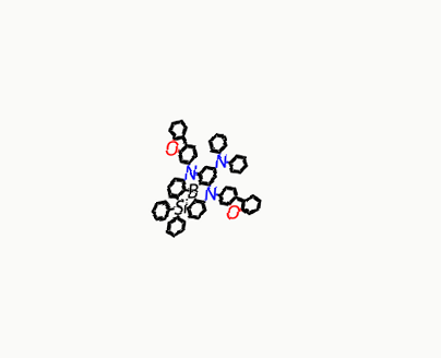 c1ccc(N(c2ccccc2)c2cc3c4c(c2)N(c2ccc5c(c2)oc2ccccc25)c2cccc5c2B4c2c(cccc2[Si]5(c2ccccc2)c2ccccc2)N3c2ccc3c(c2)oc2ccccc23)cc1